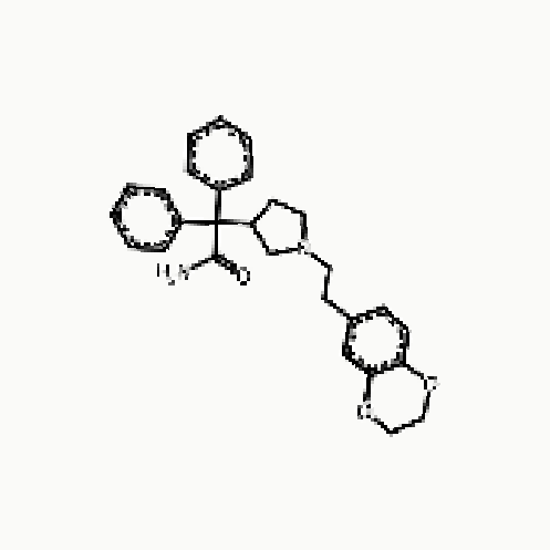 NC(=O)C(c1ccccc1)(c1ccccc1)C1CCN(CCc2ccc3c(c2)OCCO3)C1